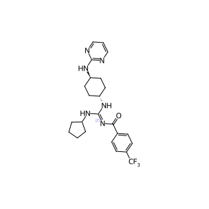 O=C(/N=C(/NC1CCCC1)N[C@H]1CC[C@H](Nc2ncccn2)CC1)c1ccc(C(F)(F)F)cc1